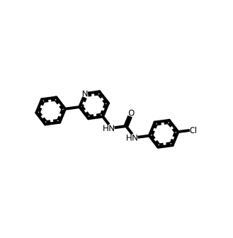 O=C(Nc1ccc(Cl)cc1)Nc1ccnc(-c2ccccc2)c1